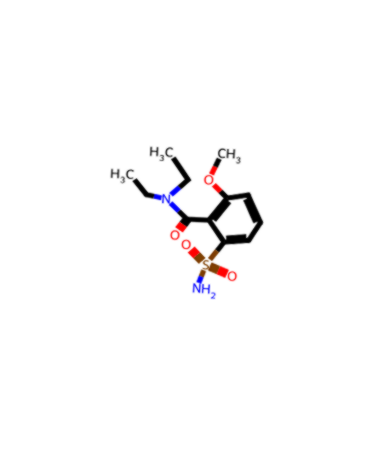 CCN(CC)C(=O)c1c(OC)cccc1S(N)(=O)=O